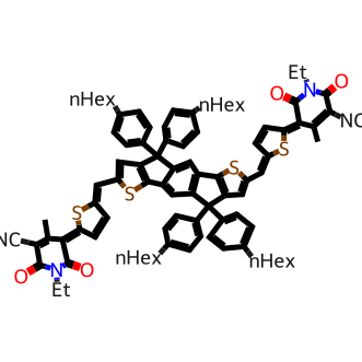 [C-]#[N+]C1=C(C)/C(=c2/cc/c(=C\c3cc4c(s3)-c3cc5c(cc3C4(c3ccc(CCCCCC)cc3)c3ccc(CCCCCC)cc3)-c3sc(/C=c4\cc/c(=C6\C(=O)N(CC)C(=O)C(C#N)=C6C)s4)cc3C5(c3ccc(CCCCCC)cc3)c3ccc(CCCCCC)cc3)s2)C(=O)N(CC)C1=O